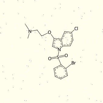 CN(C)CCOc1cn(S(=O)(=O)c2ccccc2Br)c2ccc(Cl)cc12